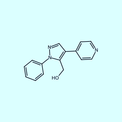 OCc1c(-c2ccncc2)cnn1-c1ccccc1